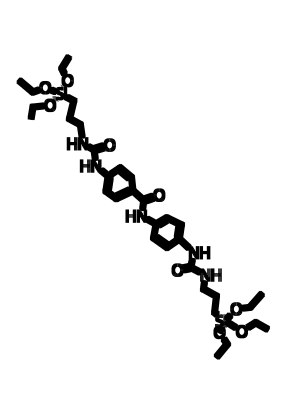 CCO[Si](CCCNC(=O)Nc1ccc(NC(=O)c2ccc(NC(=O)NCCC[Si](OCC)(OCC)OCC)cc2)cc1)(OCC)OCC